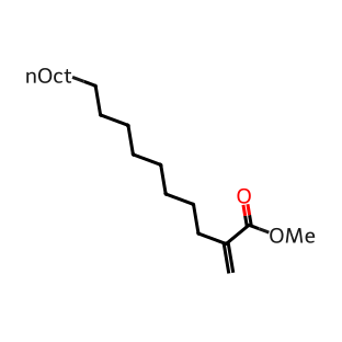 C=C(CCCCCCCCCCCCCCCC)C(=O)OC